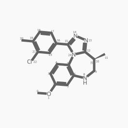 COc1ccc2c(c1)NC[C@H](C)c1nnc(-c3ccc(C)c(Cl)c3)n1-2